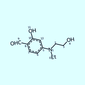 CCN(CCO)c1ccc(C=O)c(O)c1